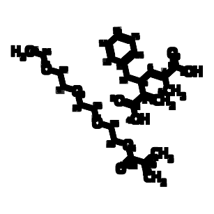 C=C(C(=O)O)C(C=C(C)C(=O)O)Cc1ccccc1.C=C(C)C(=O)OCCOCCOCCOCC